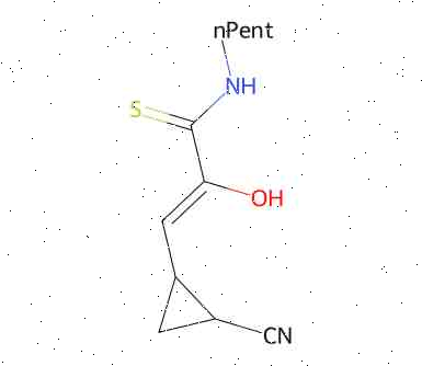 CCCCCNC(=S)C(O)=CC1CC1C#N